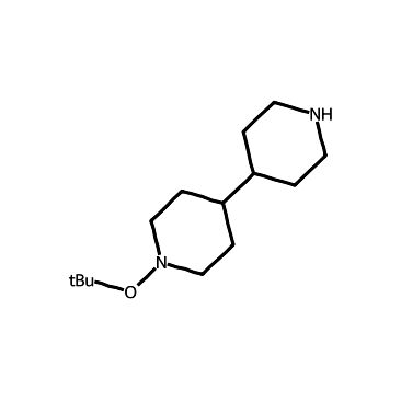 CC(C)(C)ON1CCC(C2CCNCC2)CC1